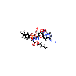 CCCCCCOC(=O)[C@H](C)NP(=O)(OC[C@H]1O[C@@](C=NC)(c2ccc3c(N)ncnn23)[C@H](O)[C@@H]1O)Oc1ccc(C(C)(C)C)cc1